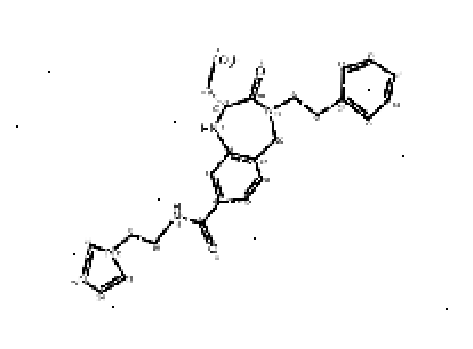 O=C(O)C[C@H]1Nc2cc(C(=O)NCCn3ccnc3)ccc2CN(CCc2ccccc2)C1=O